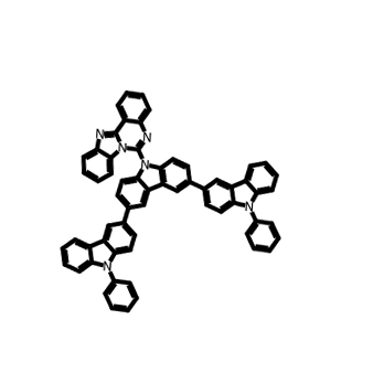 c1ccc(-n2c3ccccc3c3cc(-c4ccc5c(c4)c4cc(-c6ccc7c(c6)c6ccccc6n7-c6ccccc6)ccc4n5-c4nc5ccccc5c5nc6ccccc6n45)ccc32)cc1